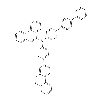 c1ccc(-c2ccc(-c3ccc(N(c4ccc(-c5ccc6c(ccc7ccccc76)c5)cc4)c4cc5ccccc5c5ccccc45)cc3)cc2)cc1